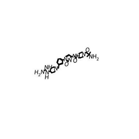 CC(C)(N)C(=O)N1CCN(C(=O)Nc2ccn(-c3cccc(CN4CCC(NC(=N)N)CC4)c3)c(=O)n2)CC1